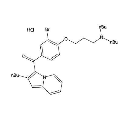 CCCCc1cc2ccccn2c1C(=O)c1ccc(OCCCN(CCCC)CCCC)c(Br)c1.Cl